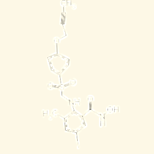 CC#CCOc1ccc(S(=O)(=O)CNc2c(C)cc(I)cc2C(=O)NO)cc1